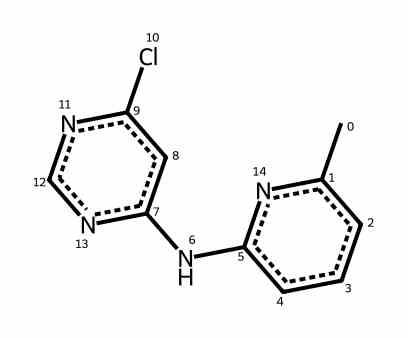 Cc1cccc(Nc2cc(Cl)ncn2)n1